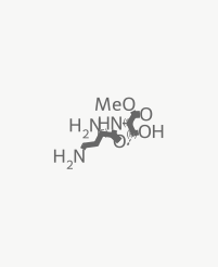 COC(=O)[C@@H](NC(=O)[C@@H](N)CCN)[C@@H](C)O